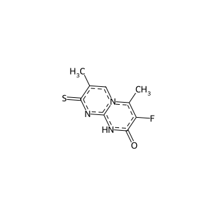 Cc1cn2c(C)c(F)c(=O)[nH]c2nc1=S